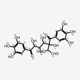 O=CC(O)C(O)(C(=O)c1cc(O)c(O)c(O)c1)C(O)C(O)C(O)C(=O)c1cc(O)c(O)c(O)c1